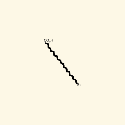 CC/C=C/C=C/CC/C=C/C/C=C/CC/C=C/CC/C=C/CCC(=O)O